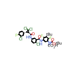 CC(C)(C)OC(=O)N(C(=O)O)c1cc(NC(=O)c2cc(NC(=O)[C@H]3[C@H](c4ccc(F)c(Cl)c4)C3(Cl)Cl)ccc2Cl)c(F)c(C(C)(C)C)c1F